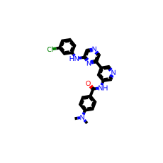 CN(C)c1ccc(C(=O)Nc2cncc(-c3cncc(Nc4cccc(Cl)c4)n3)c2)cc1